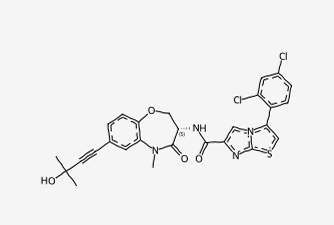 CN1C(=O)[C@@H](NC(=O)c2cn3c(-c4ccc(Cl)cc4Cl)csc3n2)COc2ccc(C#CC(C)(C)O)cc21